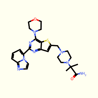 CC(C)(C(N)=O)N1CCN(Cc2cc3nc(-c4cccc5nccn45)nc(N4CCOCC4)c3s2)CC1